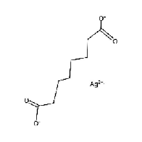 O=C([O-])CCCCCCC(=O)[O-].[Ag+2]